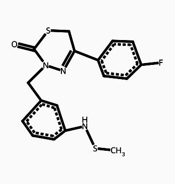 CSNc1cccc(CN2N=C(c3ccc(F)cc3)CSC2=O)c1